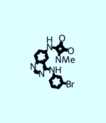 CNc1c(Nc2ccc3ncnc(Nc4cccc(Br)c4)c3c2)c(=O)c1=O